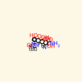 CN(C)c1ccc(O)c2c1C[C@@]1(CN3CCN(C(=O)C(C)(C)C)CC3)C[C@H]3[C@H](N(C)C)C(O)=C(C(N)=O)C(=O)[C@@]3(O)C(O)=C1C2=O